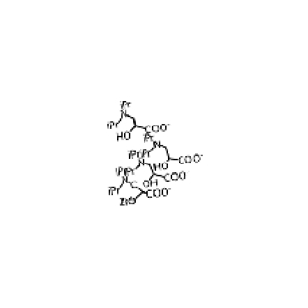 CC(C)N(CC(O)C(=O)[O-])C(C)C.CC(C)N(CC(O)C(=O)[O-])C(C)C.CC(C)N(CC(O)C(=O)[O-])C(C)C.CC(C)N(CC(O)C(=O)[O-])C(C)C.[Zr+4]